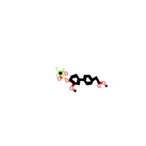 COC(=O)Cc1ccc(-c2ccc(OS(=O)(=O)C(F)(F)F)c(OC)c2)cc1